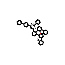 c1ccc(-c2ccc(-c3cc(-c4cccc(-c5cccc6c5sc5ccccc56)c4-c4cccc5c4sc4ccccc45)nc(-c4ccccc4)n3)cc2)cc1